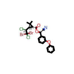 CC1(C)[C@H]([C@H](Cl)C(Cl)(Br)Br)[C@H]1C(=O)O[C@@H](C#N)c1cccc(Oc2ccccc2)c1